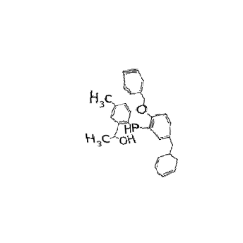 Cc1ccc(Pc2cc(CC3C=CC=CC3)ccc2OCc2ccccc2)c(C(C)O)c1